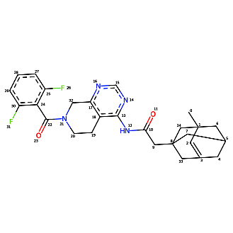 CC12C=C3CC(C1)CC(CC(=O)Nc1ncnc4c1CCN(C(=O)c1c(F)cccc1F)C4)(C3)C2